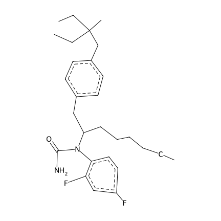 CCCCCCC(Cc1ccc(CC(C)(CC)CC)cc1)N(C(N)=O)c1ccc(F)cc1F